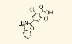 C[C@@H](NC(=O)c1cc(Cl)c(C(=O)O)c(Cl)c1)c1ccccc1